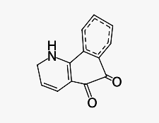 O=C1C(=O)c2ccccc2C2=C1C=CCN2